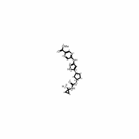 COC(=O)c1cnc(Nc2cc([C@H]3CC[C@@H](OC(=O)NC4(C)CC4)C3)[nH]n2)cn1